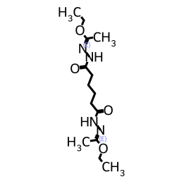 CCO/C(C)=N/NC(=O)CCCCC(=O)N/N=C(\C)OCC